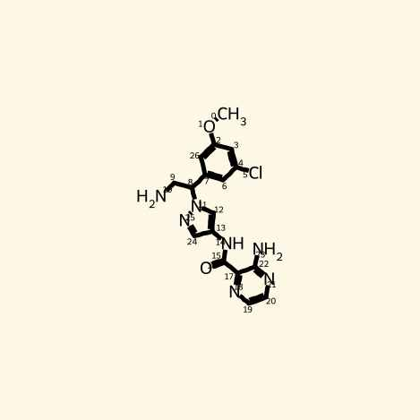 COc1cc(Cl)cc(C(CN)n2cc(NC(=O)c3nccnc3N)cn2)c1